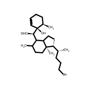 CC(C)CCC[C@@H](C)[C@H]1CCC2C([C@@H](C=O)[C@]3(O)C=CCC[C@H]3C)C(C)CC[C@@]21C